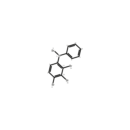 Brc1ccc(N(Br)c2ccccc2)c(Br)c1Br